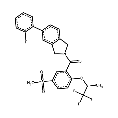 C[C@H](Oc1ccc(S(C)(=O)=O)cc1C(=O)N1Cc2ccc(-c3ccccc3F)cc2C1)C(F)(F)F